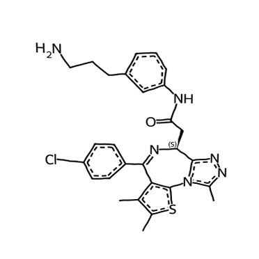 Cc1sc2c(c1C)C(c1ccc(Cl)cc1)=N[C@@H](CC(=O)Nc1cccc(CCCN)c1)c1nnc(C)n1-2